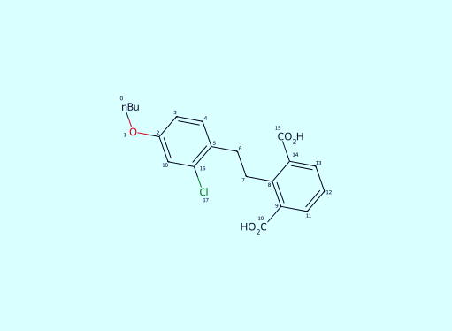 CCCCOc1ccc(CCc2c(C(=O)O)cccc2C(=O)O)c(Cl)c1